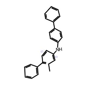 C=C(/C=C\C(=C/CC)Nc1ccc(-c2ccccc2)cc1)c1ccccc1